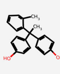 Cc1ccccc1C(C)(c1ccc(O)cc1)c1ccc(O)cc1